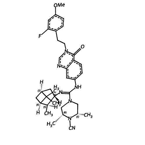 COc1ccc(CCn2cnc3cc(NC(=N[C@H]4C[C@@H]5C[C@H]([C@@H]4C)C5(C)C)N4C[C@@H](C)N(C#N)[C@@H](C)C4)ccc3c2=O)c(F)c1